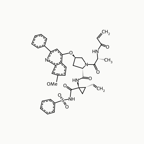 C=CC(=O)N[C@H](C)C(=O)N1C[C@H](Oc2cc(-c3ccccc3)nc3cc(OC)ccc23)C[C@H]1C(=O)N[C@]1(C(=O)NS(=O)(=O)c2ccccc2)C[C@H]1C=C